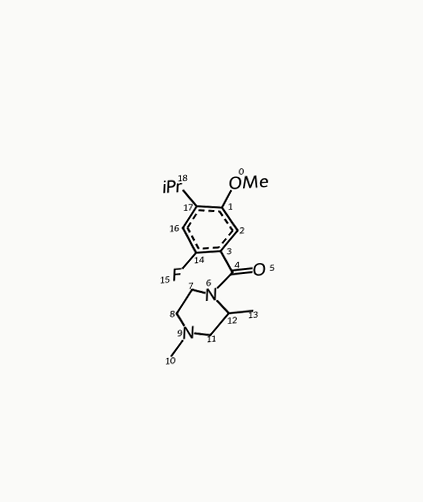 COc1cc(C(=O)N2CCN(C)CC2C)c(F)cc1C(C)C